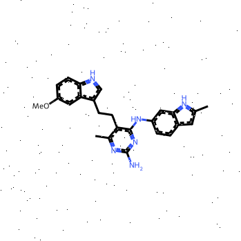 COc1ccc2[nH]cc(CCc3c(C)nc(N)nc3Nc3ccc4cc(C)[nH]c4c3)c2c1